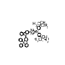 CC(C)(C)c1ccc(N(c2ccc(C(C)(C)C)cc2)c2cnc(-c3ccc4c5ccccc5n(-c5ccc6c(c5)C(c5ccccc5)(c5ccccc5)c5ccccc5-6)c4c3)nc2)cc1